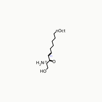 CCCCCCCCCCCCC/C=C/C(=O)[C@@H](N)CO